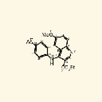 CCOC(=O)c1cnc2ccc(OC)cc2c1Nc1ccc(C(C)=O)cc1